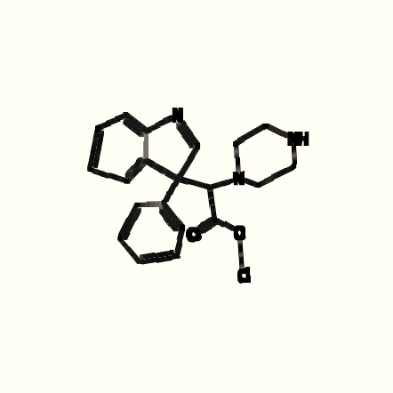 O=C(OCl)C(N1CCNCC1)C1(c2ccccc2)C=Nc2ccccc21